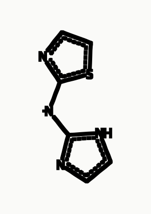 c1c[nH]c([N]c2nccs2)n1